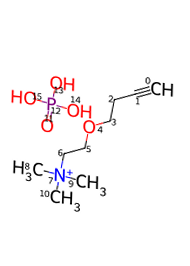 C#CCCOCC[N+](C)(C)C.O=P(O)(O)O